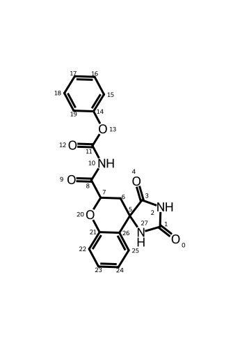 O=C1NC(=O)C2(CC(C(=O)NC(=O)Oc3ccccc3)Oc3ccccc32)N1